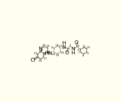 O=C(CNC(=O)c1ccccc1)N[C@H]1CC[C@@H](Nc2ccnc3cc(Cl)ccc23)CC1